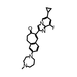 CN1CCCN(c2ccc3c(c2)CCC(=O)C(c2cn4cc(C5CC5)cc(F)c4n2)=C3)CC1